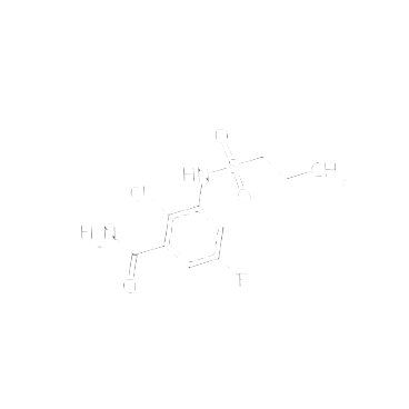 CCCS(=O)(=O)Nc1cc(F)cc(C(N)=O)c1Cl